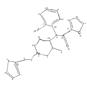 CC1CN(CCc2cccs2)CCC1N(C(=O)c1ccco1)c1ccccc1F